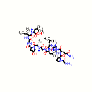 CC[C@H](C)[C@H](NC(=O)CNC(=O)[C@@H]1C[C@@H](O)CN1C(=O)[C@H](C)NC(=O)CNC(=O)[C@H](CC(C)C)NC(=O)[C@H](CC(C)C)NC(=O)CNC(=O)[C@H](CCC(N)=O)NC(=O)[C@@H]1CCCN1C(=O)CN)C(=O)N[C@@H](CC(C)C)C(=O)O